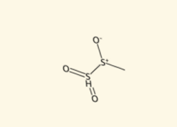 C[S+]([O-])[SH](=O)=O